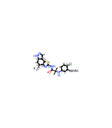 CC(=O)Nc1cc(NC(C)(C)C(=O)Nc2nc3c(C(F)(F)F)cc4[nH]ncc4c3s2)ccc1Cl